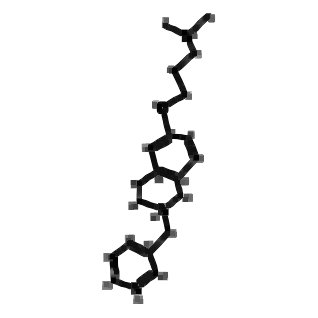 CN(C)CCCOc1ccc2c(c1)CCN(Cc1cccnc1)C2